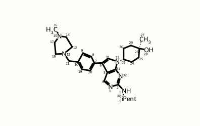 CCC[C@@H](C)Nc1ncc2c(-c3ccc(CN4CCN(C)CC4)cc3)cn([C@H]3CC[C@](C)(O)CC3)c2n1